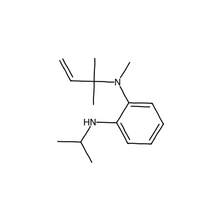 C=CC(C)(C)N(C)c1ccccc1NC(C)C